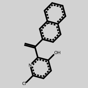 C=C(c1ccc2ccccc2c1)c1nc(Cl)ccc1O